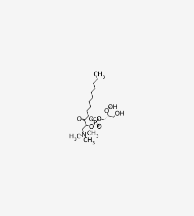 CCCCCCCCCCC(=O)C(C[N+](C)(C)C)OP(=O)([O-])OC[C@@H](CO)OO